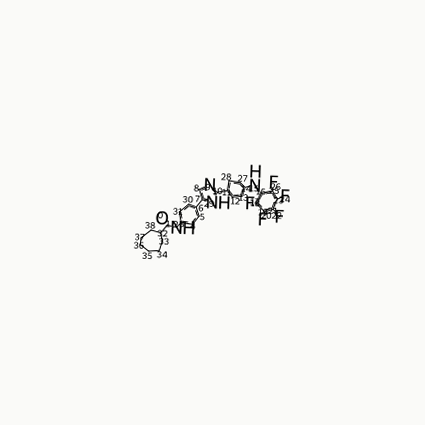 O=C(Nc1ccc(-c2cnc(-c3ccc(Nc4c(F)c(F)c(F)c(F)c4F)cc3)[nH]2)cc1)C1CCCCCC1